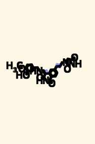 COc1ccc(CN/C=C2\C(=O)NC(=O)c3ccc(/C=C/CN4CC(=O)NC4=O)cc32)cc1O